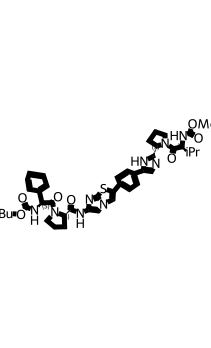 COC(=O)N[C@H](C(=O)N1CCC[C@H]1c1ncc(-c2ccc(-c3cn4cc(NC(=O)[C@@H]5CCCN5C(=O)[C@@H](NC(=O)OC(C)(C)C)c5ccccc5)nc4s3)cc2)[nH]1)C(C)C